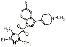 CCn1nc(C)c(S(=O)(=O)n2cc(C3=CCN(C)CC3)c3cc(F)ccc32)c1C